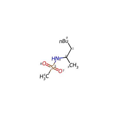 CCCCCC(C)NS(C)(=O)=O